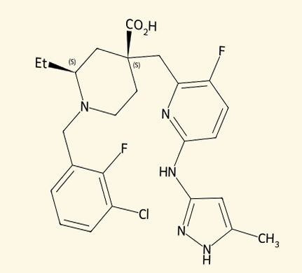 CC[C@H]1C[C@@](Cc2nc(Nc3cc(C)[nH]n3)ccc2F)(C(=O)O)CCN1Cc1cccc(Cl)c1F